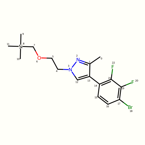 Cc1nn(CCOC[Si](C)(C)C)cc1-c1ccc(Br)c(F)c1F